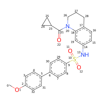 COc1ccc(-c2ccc(S(=O)(=O)Nc3ccc4c(c3)N(C(=O)C3CC3)CCC4)cc2)cc1